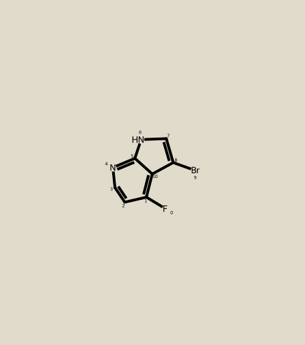 Fc1ccnc2[nH]cc(Br)c12